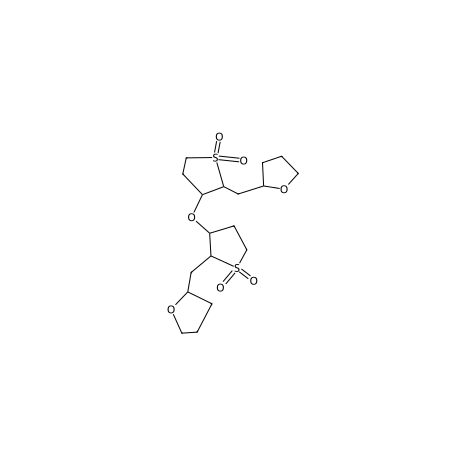 O=S1(=O)CCC(OC2CCS(=O)(=O)C2CC2CCCO2)C1CC1CCCO1